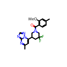 COc1cc(C)ccc1C(=O)N1CC(c2cc(C)nc3ncnn23)CC(F)(F)C1